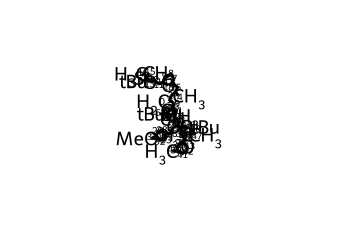 C=C(CC(C)CC1CC=CC(CCO[Si](C)(C)C(C)(C)C)O1)CC(/C=C/CC(OCc1ccc(OC)cc1)C(/C=C/C1CC(C)=CCO1)O[Si](C)(C)C(C)(C)C)O[Si](C)(C)C(C)(C)C